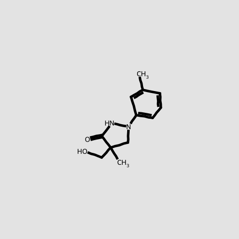 Cc1cccc(N2CC(C)(CO)C(=O)N2)c1